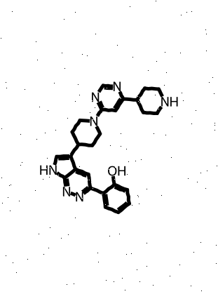 Oc1ccccc1-c1cc2c(C3CCN(c4cc(C5CCNCC5)ncn4)CC3)c[nH]c2nn1